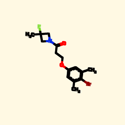 Cc1cc(OCCC(=O)N2CC(C)(F)C2)cc(C)c1Br